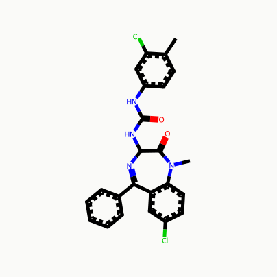 Cc1ccc(NC(=O)NC2N=C(c3ccccc3)c3cc(Cl)ccc3N(C)C2=O)cc1Cl